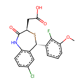 COc1cccc([C@H]2S[C@H](CC(=O)O)C(=O)Nc3ccc(Cl)cc32)c1F